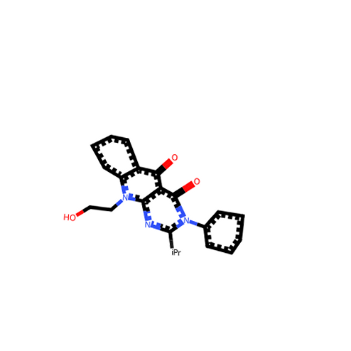 CC(C)c1nc2c(c(=O)c3ccccc3n2CCO)c(=O)n1-c1ccccc1